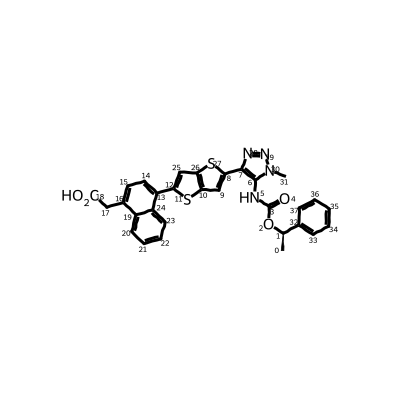 C[C@@H](OC(=O)Nc1c(-c2cc3sc(-c4ccc(CC(=O)O)c5ccccc45)cc3s2)nnn1C)c1ccccc1